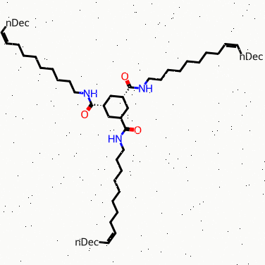 CCCCCCCCCC/C=C\CCCCCCCCNC(=O)C1C[C@H](C(=O)NCCCCCCCC/C=C\CCCCCCCCCC)C[C@H](C(=O)NCCCCCCCC/C=C\CCCCCCCCCC)C1